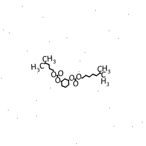 CC(C)CCCCCOC(=O)OC1CCCC(OC(=O)OCCCC(C)C)C1